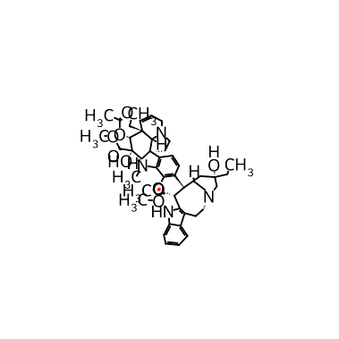 CC[C@]1(O)C[C@@H]2C[N@@](CCc3c([nH]c4ccccc34)[C@H](C(=O)OC)[C@H]2c2ccc3c(c2OC)N(C)[C@H]2[C@@](O)(C(=O)OC)[C@H](OC(C)=O)[C@]4(CC)C=CCN5CC[C@]32[C@@H]54)C1